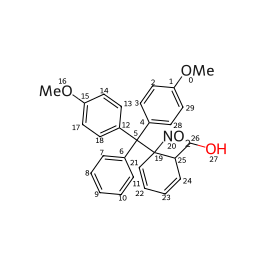 COc1ccc(C(c2ccccc2)(c2ccc(OC)cc2)C2([N+](=O)[O-])C=CC=CC2CO)cc1